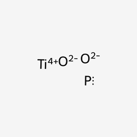 [O-2].[O-2].[P].[Ti+4]